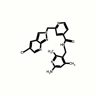 Cc1cc(N)nc(C)c1CNC(=O)c1ccnc(Cn2cc3cc(Cl)cnc3n2)c1